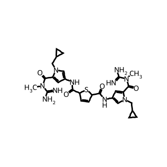 CN(C(=N)N)C(=O)c1cc(NC(=O)C2C=CC(C(=O)Nc3cc(C(=O)N(C)C(=N)N)n(CC4CC4)c3)S2)cn1CC1CC1